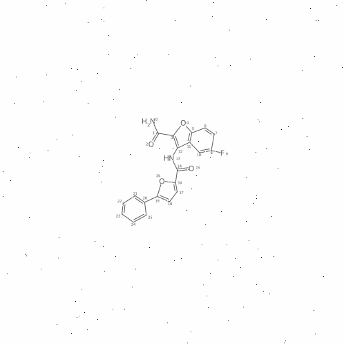 NC(=O)c1oc2ccc(F)cc2c1NC(=O)c1ccc(-c2ccccc2)o1